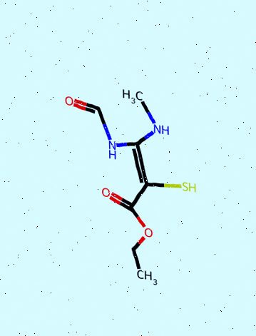 CCOC(=O)/C(S)=C(/NC)NC=O